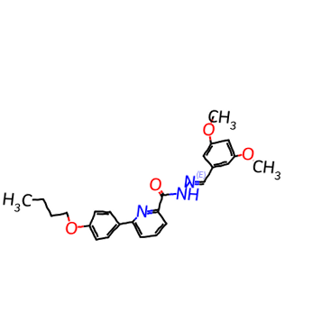 CCCCOc1ccc(-c2cccc(C(=O)N/N=C/c3cc(OC)cc(OC)c3)n2)cc1